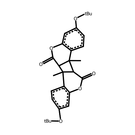 CC(C)(C)Oc1ccc2c(c1)OC(=O)C1C2(C)C2C(=O)Oc3cc(OC(C)(C)C)ccc3C12C